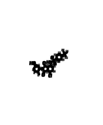 Cc1cc[n+](O)cc1N1C(=O)c2c(Cl)ccc(NS(=O)(=O)c3ccc(C(C)(C)C)cc3)c2C1=O